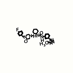 Cn1nnnc1-c1cccc(NC(=O)N[C@@H]2CCCC[C@H]2CN2CCN(Cc3ccc(F)cc3)C(=O)C2)c1